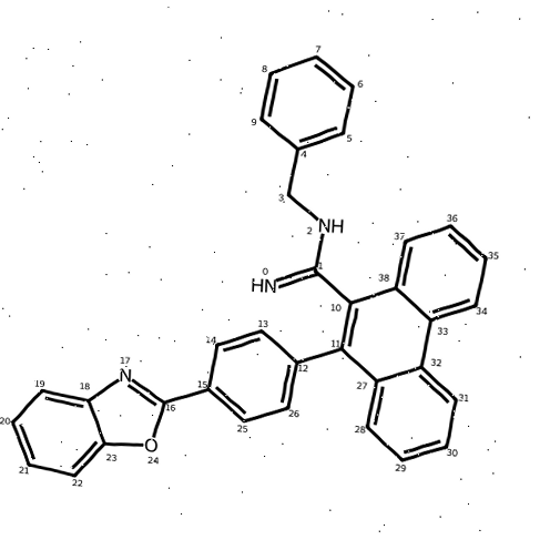 N=C(NCc1ccccc1)c1c(-c2ccc(-c3nc4ccccc4o3)cc2)c2ccccc2c2ccccc12